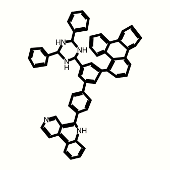 C1=CC2=c3ccncc3=C(c3ccc(-c4cc(-c5cccc6c7ccccc7c7ccccc7c56)cc(C5NC(c6ccccc6)NC(c6ccccc6)N5)c4)cc3)NC2C=C1